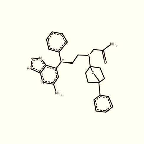 NC(=O)CN(CC[C@H](c1ccccc1)c1cc(N)nc2[nH]nnc12)C12CCC(c3ccccc3)(CC1)CC2